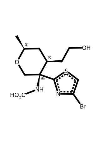 C[C@H]1C[C@@H](CCO)[C@](NC(=O)O)(c2nc(Br)cs2)CO1